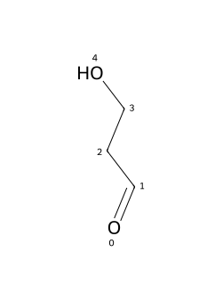 O=CCCO